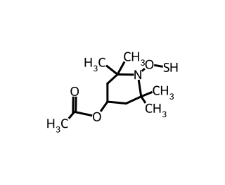 CC(=O)OC1CC(C)(C)N(OS)C(C)(C)C1